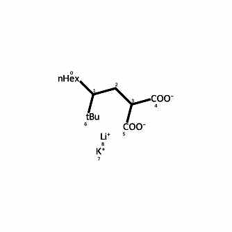 CCCCCCC(CC(C(=O)[O-])C(=O)[O-])C(C)(C)C.[K+].[Li+]